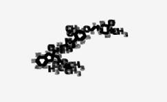 COc1cc(OCCN2CCN(C)C(=O)C2)ccc1-c1csc(CNC(=O)C2(CC(=O)OC(C)(C)C)Cc3ccccc3C2)n1